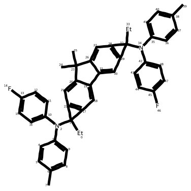 CCC1(N(c2ccc(C)cc2)c2ccc(F)cc2)c2cc3c(cc21)C(C)(C)c1cc2c(cc1-3)C2(CC)N(c1ccc(C)cc1)c1ccc(F)cc1